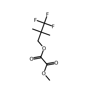 COC(=O)C(=O)OCC(C)(C)C(F)(F)F